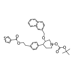 CC(C)(C)OC(=O)ON1CCC(c2ccc(CCOC(=O)c3ccsc3)cc2)C(OCc2ccc3ccccc3c2)C1